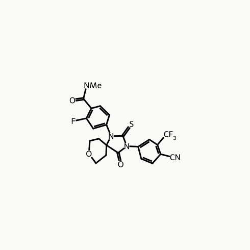 CNC(=O)c1ccc(N2C(=S)N(c3ccc(C#N)c(C(F)(F)F)c3)C(=O)C23CCOCC3)cc1F